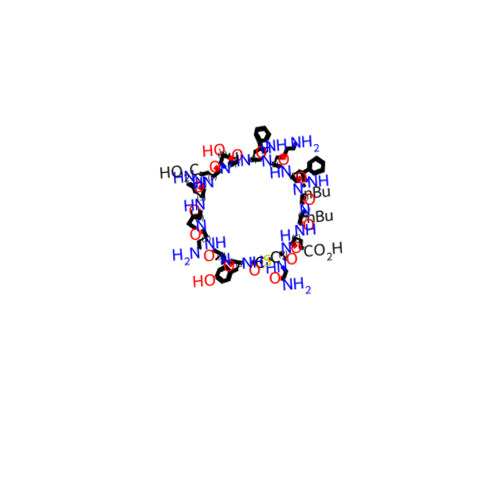 CCCC[C@H]1C(=O)N(C)[C@@H](CCCC)C(=O)N[C@@H](CCC(=O)O)C(=O)N[C@H](C(=O)NCC(N)=O)CSCC(=O)N[C@@H](Cc2ccc(O)cc2)C(=O)N(C)[C@@H](C)C(=O)N[C@@H](CCN)C(=O)N2CCC[C@H]2C(=O)N[C@@H](Cc2c[nH]cn2)C(=O)N[C@@H](CCC(=O)O)C(=O)N2C[C@H](O)C[C@H]2C(=O)N[C@@H](Cc2c[nH]c3ccccc23)C(=O)N[C@@H](CCCCN)C(=O)N[C@@H](Cc2c[nH]c3ccccc23)C(=O)N1C